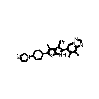 Cc1c(-c2[nH]c3sc(C4CCC(N5CC[C@H](C)C5)CC4)c(C)c3c2C(C)C)cn2ncnc2c1C